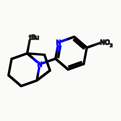 CC(C)(C)C12CCCC(CC1)N2c1ccc([N+](=O)[O-])cn1